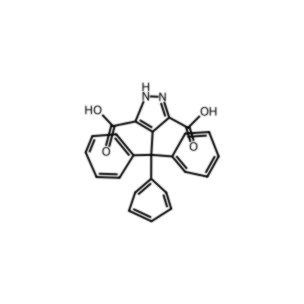 O=C(O)c1n[nH]c(C(=O)O)c1C(c1ccccc1)(c1ccccc1)c1ccccc1